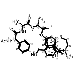 CC(=O)N[C@H](C(=O)N[C@@H](C)C(=O)O[C@@H](C)C(=O)OC1=CC[C@@]2(O)[C@H]3Cc4ccc(CO)c5c4[C@@]2(CCCN3C)[C@H]1O5)c1ccccc1